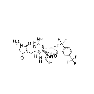 CN1CC(=O)N(CC2NC(=N)N3C[C@H](OC(=O)c4cc(C(F)(F)F)ccc4C(F)(F)F)C(O)(O)C34NC(=N)N[C@@H]24)C1=O